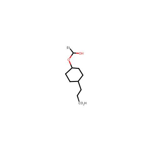 CCC(O)OC1CCC(CCC(=O)O)CC1